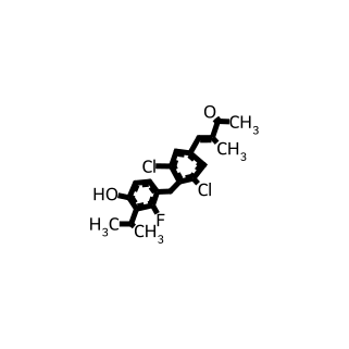 CC(=O)/C(C)=C/c1cc(Cl)c(Cc2ccc(O)c(C(C)C)c2F)c(Cl)c1